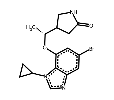 C[C@@H](Oc1cc(Br)cc2ncn(C3CC3)c12)C1CNC(=O)C1